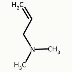 C=CCN(C)C